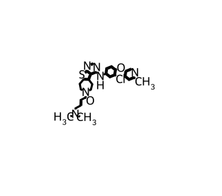 Cc1ccc(Oc2ccc(Nc3ncnc4sc5c(c34)CCN(C(=O)/C=C/CN(C)C)CC5)cc2Cl)cn1